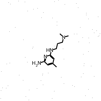 Cc1cc(N)nc(NCCCN(C)C)c1